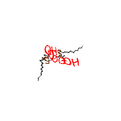 CCCCCCCCCCC(C)SC(CCOCCC(SC(C)CCCCCCCCCC)C(C)C(=O)O)C(C)C(=O)O